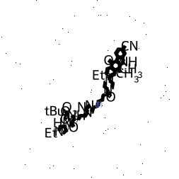 CCc1cc2c(cc1N1CCN(C(=O)CC/C=C/c3cn(CCC[C@H](NC(=O)OC(C)(C)C)C(=O)N[C@@H]4CCN(CC)C4)c([N+](=O)[O-])n3)CC1)C(C)(C)c1[nH]c3cc(C#N)ccc3c1C2=O